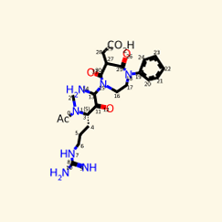 CC(=O)N(C)[C@@H](CCCNC(=N)N)C(=O)C(N)N1CCN(c2ccccc2)C(=O)C(CC(=O)O)C1=O